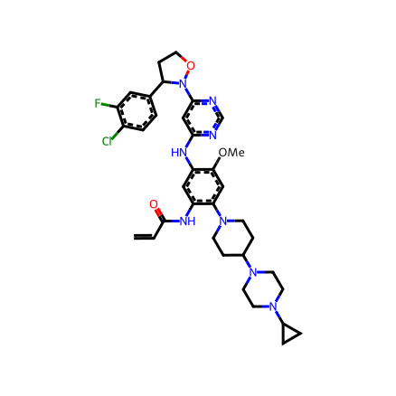 C=CC(=O)Nc1cc(Nc2cc(N3OCCC3c3ccc(Cl)c(F)c3)ncn2)c(OC)cc1N1CCC(N2CCN(C3CC3)CC2)CC1